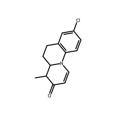 CC1C(=O)C=CN2c3ccc(Cl)cc3CCC12